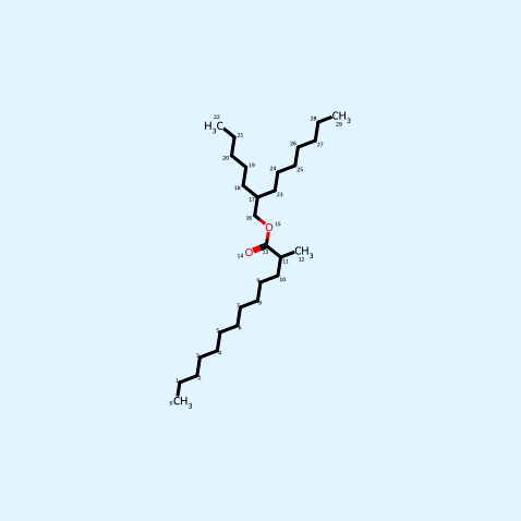 CCCCCCCCCCCC(C)C(=O)OCC(CCCCC)CCCCCCC